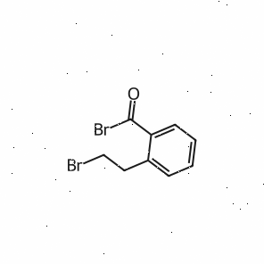 O=C(Br)c1ccccc1CCBr